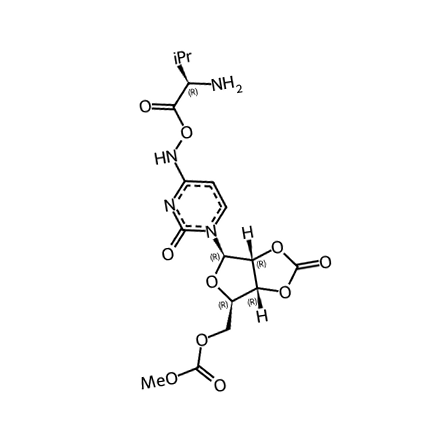 COC(=O)OC[C@H]1O[C@@H](n2ccc(NOC(=O)[C@H](N)C(C)C)nc2=O)[C@@H]2OC(=O)O[C@@H]21